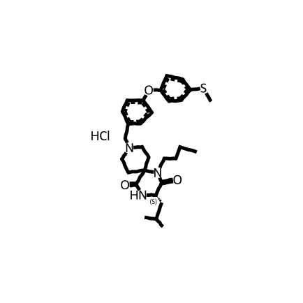 CCCCN1C(=O)[C@H](CC(C)C)NC(=O)C12CCN(Cc1ccc(Oc3ccc(SC)cc3)cc1)CC2.Cl